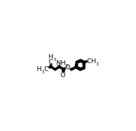 Cc1ccc(COC(=O)C(N)CC(C)C)cc1